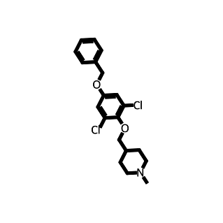 CN1CCC(COc2c(Cl)cc(OCc3ccccc3)cc2Cl)CC1